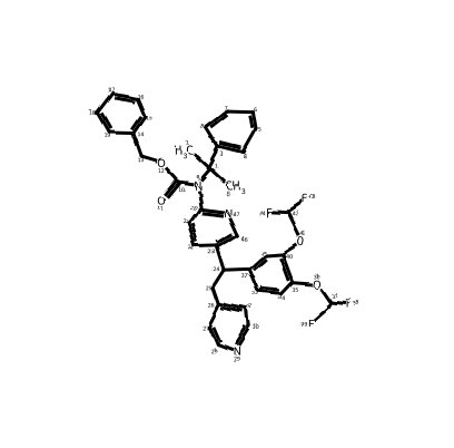 CC(C)(c1ccccc1)N(C(=O)OCc1ccccc1)c1ccc(C(Cc2ccncc2)c2ccc(OC(F)F)c(OC(F)F)c2)cn1